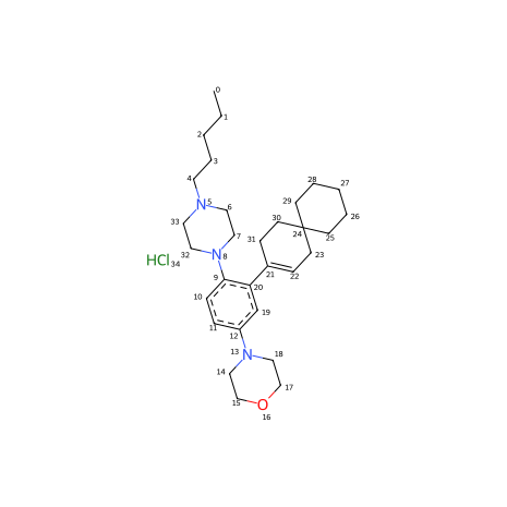 CCCCCN1CCN(c2ccc(N3CCOCC3)cc2C2=CCC3(CCCCC3)CC2)CC1.Cl